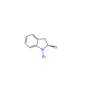 CC[C@@H]1Cc2ccccc2N1CC